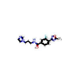 O=C(NCCCn1ccnc1)c1ccc(-c2noc(C(F)(F)F)n2)c(F)c1